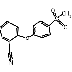 CS(=O)(=O)c1ccc(Oc2ccccc2C#N)cc1